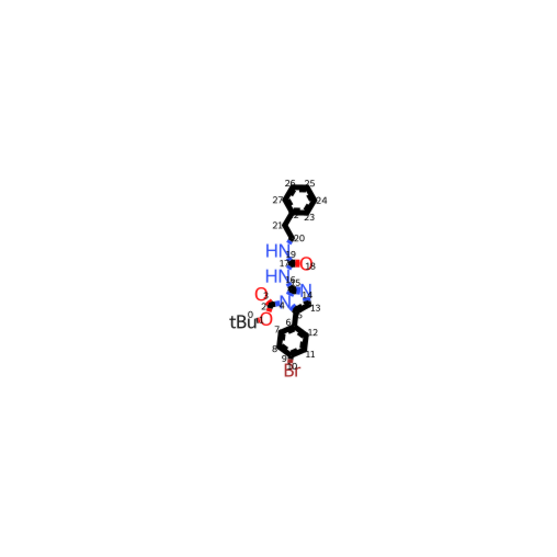 CC(C)(C)OC(=O)n1c(-c2ccc(Br)cc2)cnc1NC(=O)NCCc1ccccc1